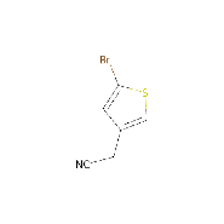 N#CCc1csc(Br)c1